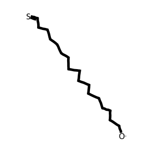 [O]CCCCCCCCCCCCCCCCC=S